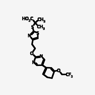 CC(C)(Sc1nc(CCOc2ncc(C3=CCCC(OCC(F)(F)F)=C3)cn2)cs1)C(=O)O